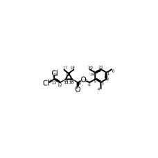 Cc1cc(C)c(COC(=O)[C@H]2[C@@H](C=C(Cl)Cl)C2(C)C)c(C)c1